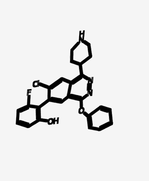 Oc1cccc(F)c1-c1cc2c(Oc3ccccc3)nnc(C3CCNCC3)c2cc1Cl